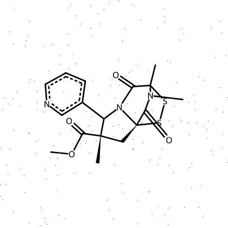 COC(=O)[C@@]1(C)C[C@@]23SSC(C)(C(=O)N2C1c1cccnc1)N(C)C3=O